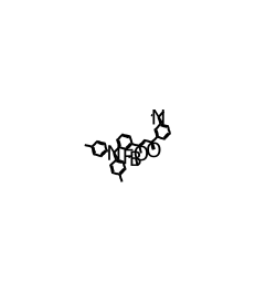 CB(F)O/C(=C\C(=O)c1cccc(N(C)C)c1)c1cccc(N(c2ccc(C)cc2)c2ccc(C)cc2)c1